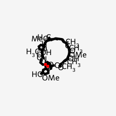 CO[C@H]1C[C@@H]2CC[C@@H](C)[C@@](O)(O2)C(=O)C(=O)N2CCC[C@@H]3C(C[C@@H]4CCC(O)[C@H](OC)C4)C(CC(=O)C(C)/C=C(\C)[C@@H](O)[C@@H](OC)C(=O)[C@H](C)C[C@H](C)/C=C/C=C/C=C/1C)OC(=O)[C@H]32